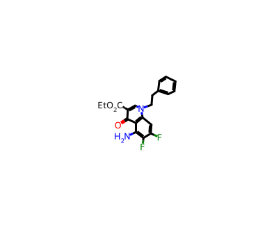 CCOC(=O)c1cn(CCc2ccccc2)c2cc(F)c(F)c(N)c2c1=O